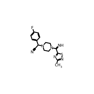 Cc1nsc(C(=N)N2CCN(C(C#N)c3ccc(F)cc3)CC2)n1